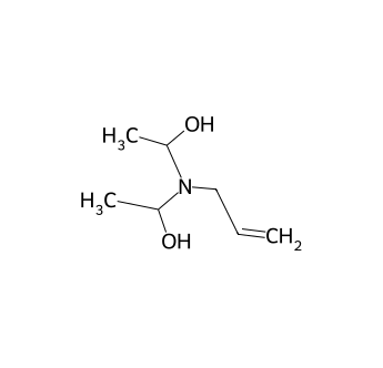 C=CCN(C(C)O)C(C)O